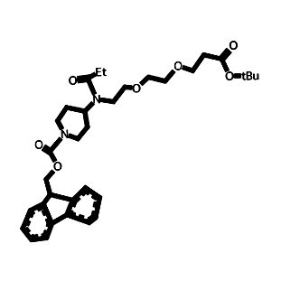 CCC(=O)N(CCOCCOCCC(=O)OC(C)(C)C)C1CCN(C(=O)OCC2c3ccccc3-c3ccccc32)CC1